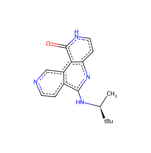 C[C@H](Nc1nc2cc[nH]c(=O)c2c2cnccc12)C(C)(C)C